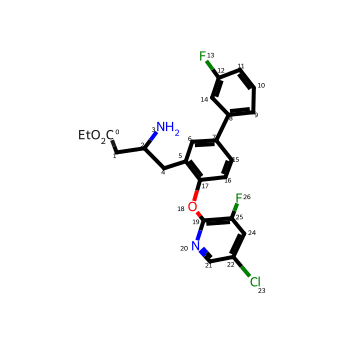 CCOC(=O)CC(N)Cc1cc(-c2cccc(F)c2)ccc1Oc1ncc(Cl)cc1F